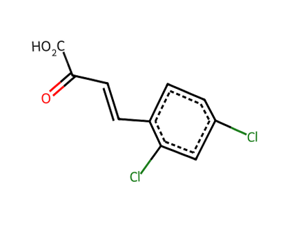 O=C(O)C(=O)C=Cc1ccc(Cl)cc1Cl